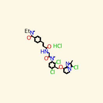 CCN(C)C(=O)c1ccc(/C=C/C(=O)NCC(=O)N(C)c2ccc(Cl)c(COc3cccn4c(Cl)c(C)nc34)c2Cl)cc1.Cl